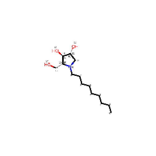 CCCCCCCCCN1C[C@@H](O)[C@H](O)[C@H]1CO